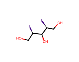 OC[C@@H](I)[C@H](O)[C@@H](I)CO